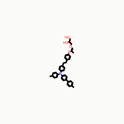 C/C(=C/OCC(O)CO)Oc1ccc(CCc2ccc(N(c3ccc(C)cc3)c3ccc(-c4ccc(C)cc4)cc3)cc2)cc1